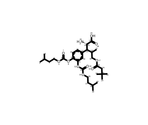 CC(C)CCOC(=O)Oc1ccc(C(C(C)COC(=O)CC(C)(C)C)[C@H](N)C(=O)O)cc1OC(=O)OCCC(C)C